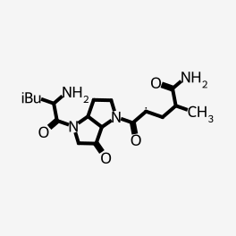 CCC(C)C(N)C(=O)N1CC(=O)C2C1CCN2C(=O)[CH]CC(C)C(N)=O